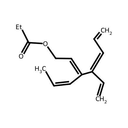 C=C/C=C(/C=C)C(=CCOC(=O)CC)/C=C\C